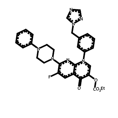 CCOC(=O)Oc1cn(-c2cccc(Cn3cncn3)c2)c2nc(N3CCN(c4ccccc4)CC3)c(F)cc2c1=O